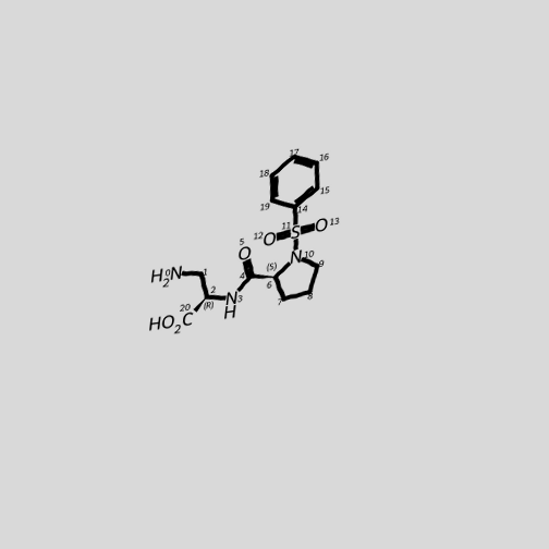 NC[C@@H](NC(=O)[C@@H]1CCCN1S(=O)(=O)c1ccccc1)C(=O)O